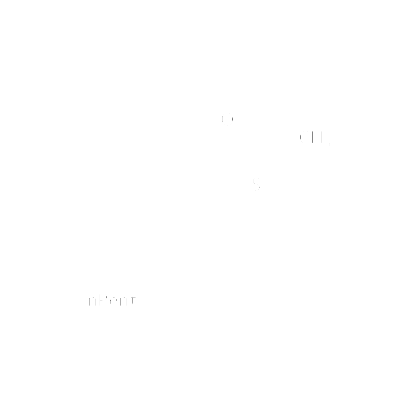 CCCCCCCC1CCOC(C)S1